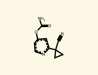 N#CC1(c2cc(OC(N)=O)ccn2)CC1